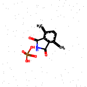 C=c1ccc(=C)c2c1C(=O)NC2=O.O=S(=O)(O)O